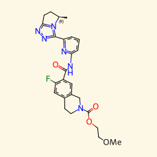 COCCOC(=O)N1CCc2cc(F)c(C(=O)Nc3cccc(-c4nnc5n4[C@H](C)CC5)n3)cc2C1